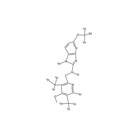 [2H]c1nc(C[S+]([O-])c2nc3nc(OC([2H])([2H])[2H])ccc3n2[2H])c(C([2H])([2H])[2H])c(OC)c1C([2H])([2H])[2H]